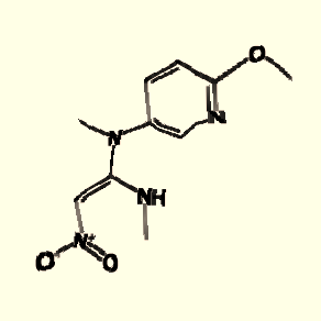 CNC(=C[N+](=O)[O-])N(C)c1ccc(OC)nc1